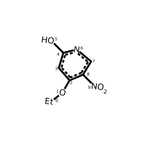 CCOc1cc(O)ncc1[N+](=O)[O-]